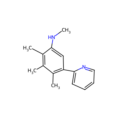 CNc1cc(-c2ccccn2)c(C)c(C)c1C